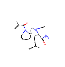 C=C(C)C(=O)N1CCC[C@H]1CN(C)C(CC(C)C)C(N)=O